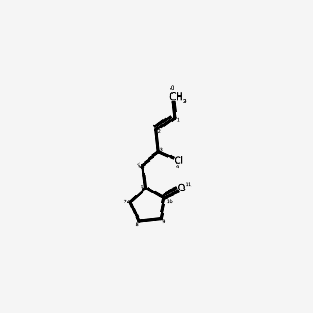 C/C=C/C(Cl)CC1CCCC1=O